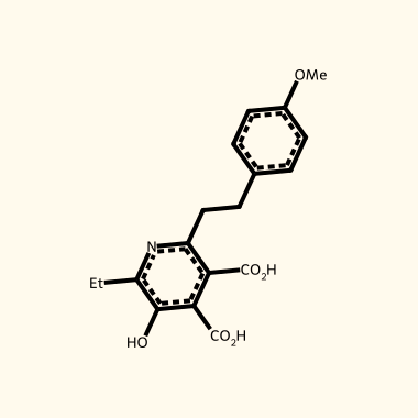 CCc1nc(CCc2ccc(OC)cc2)c(C(=O)O)c(C(=O)O)c1O